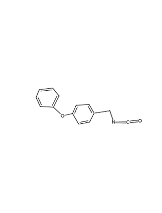 O=C=NCc1ccc(Oc2ccccc2)cc1